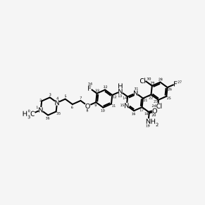 CN1CCN(CCCOc2ccc(Nc3ncc(C(N)=O)c(-c4c(Cl)cc(F)cc4Cl)n3)cc2F)CC1